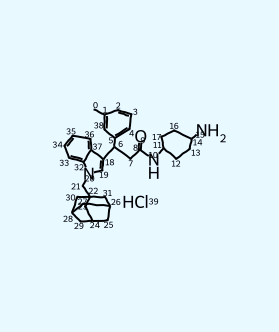 Cc1cccc(C(CC(=O)NC2CCC(N)CC2)c2cn(CC34CC5CC(CC(C5)C3)C4)c3ccccc23)c1.Cl